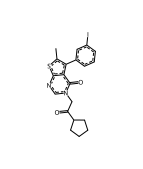 Cc1sc2ncn(CC(=O)C3CCCC3)c(=O)c2c1-c1cccc(I)c1